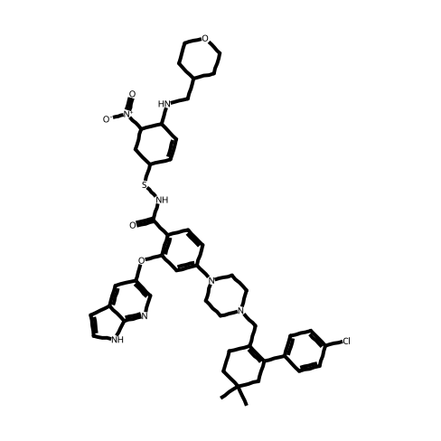 CC1(C)CCC(CN2CCN(c3ccc(C(=O)NSC4C=CC(NCC5CCOCC5)C([N+](=O)[O-])C4)c(Oc4cnc5[nH]ccc5c4)c3)CC2)=C(c2ccc(Cl)cc2)C1